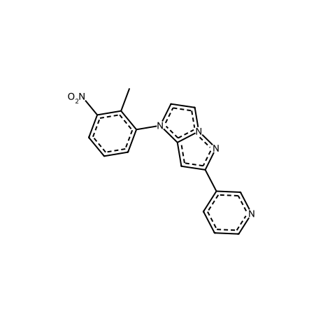 Cc1c(-n2ccn3nc(-c4cccnc4)cc23)cccc1[N+](=O)[O-]